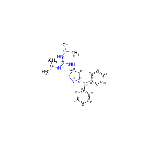 CC(C)/N=C(\NC(C)C)N[C@H]1CN[C@@H](C(c2ccccc2)c2ccccc2)C1